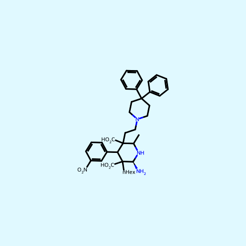 CCCCCCC1(C(=O)O)C(c2cccc([N+](=O)[O-])c2)C(CCN2CCC(c3ccccc3)(c3ccccc3)CC2)(C(=O)O)C(C)N[C@H]1N